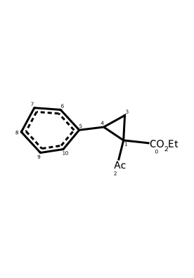 CCOC(=O)C1(C(C)=O)CC1c1ccccc1